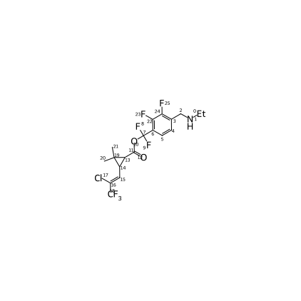 CCNCc1ccc(C(F)(F)OC(=O)C2C(C=C(Cl)C(F)(F)F)C2(C)C)c(F)c1F